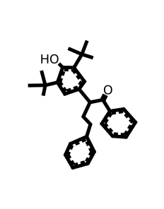 CC(C)(C)c1cc(C(CCc2ccccc2)C(=O)c2ccccc2)cc(C(C)(C)C)c1O